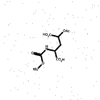 CC(=O)OC(CC(NC(=O)OC(C)(C)C)C(=O)O)C(=O)O